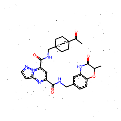 CC(=O)C12CCC(CNC(=O)c3cc(C(=O)NCc4ccc5c(c4)NC(=O)C(C)O5)nc4ccnn34)(CC1)CC2